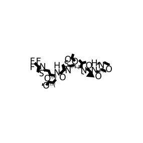 COC(=O)[C@@H](C)C[C@H](CCc1nc(C(F)(F)F)cs1)NC(=O)c1csc([C@@H](C[C@H](C(C)C)N(C)C(=O)C2(NC(=O)[C@H]3COCCN3C)CC2)OC(C)=O)n1